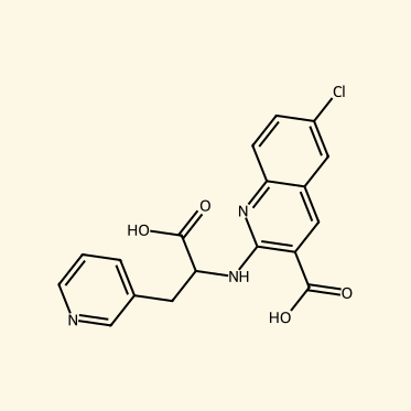 O=C(O)c1cc2cc(Cl)ccc2nc1NC(Cc1cccnc1)C(=O)O